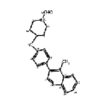 Cc1c(-c2ccc(OC3CCN(C=O)CC3)cc2)cnc2ccccc12